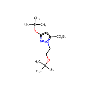 CCOC(=O)c1cc(O[Si](C)(C)C(C)(C)C)nn1CCO[Si](C)(C)C(C)(C)C